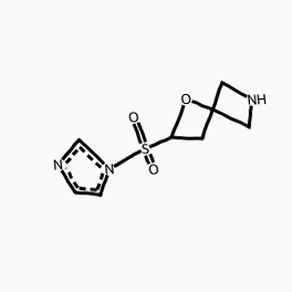 O=S(=O)(C1CC2(CNC2)O1)n1ccnc1